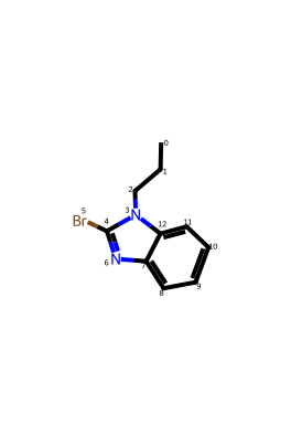 CCCn1c(Br)nc2ccccc21